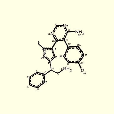 Cc1nn(C(CN)c2ccccc2)cc1-c1ncnc(N)c1-c1ccc(Cl)cc1